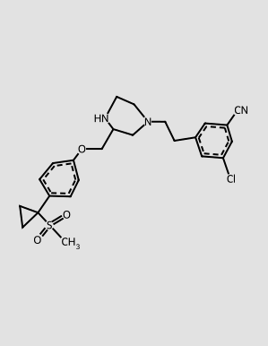 CS(=O)(=O)C1(c2ccc(OCC3CN(CCc4cc(Cl)cc(C#N)c4)CCN3)cc2)CC1